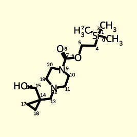 C[Si](C)(C)CCOC(=O)N1CCN(CC2(CO)CC2)CC1